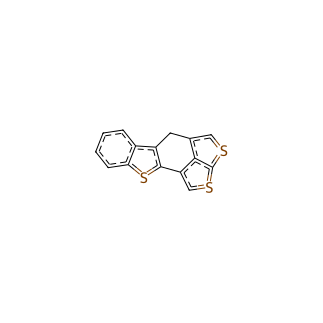 c1ccc2c3c(sc2c1)-c1csc2scc(c12)C3